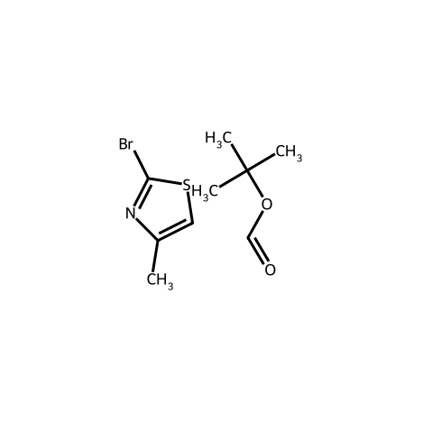 CC(C)(C)OC=O.Cc1csc(Br)n1